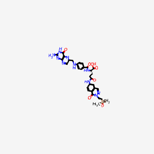 C[SH](C)(=O)CCn1ncc2cc(NC(=O)CC[C@H](NC(=O)c3ccc(NCc4cnc5nc(N)[nH]c(=O)c5n4)cc3)C(=O)O)ccc2c1=O